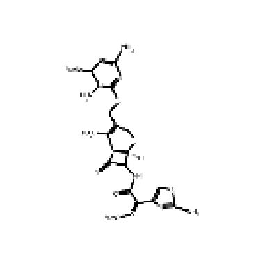 CNC1C=C(N)N=C(SCC2=C(C(=O)O)N3C(=O)C(NC(=O)/C(=N\OC)c4csc(N)n4)[C@@H]3SC2)N1N